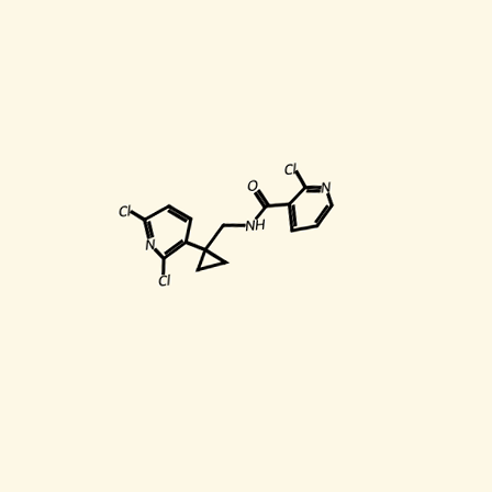 O=C(NCC1(c2ccc(Cl)nc2Cl)CC1)c1cccnc1Cl